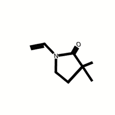 C=CN1CCC(C)(C)C1=O